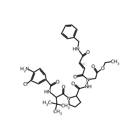 CCOC(=O)CN(NC(=O)C1CCCN1C(=O)C(NC(=O)c1ccc(N)c(Cl)c1)C(C)(C)C)C(=O)/C=C/C(=O)NCc1ccccc1